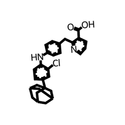 O=C(O)c1cccnc1Cc1ccc(Nc2ccc(C34CC5CC(CC(C5)C3)C4)cc2Cl)cc1